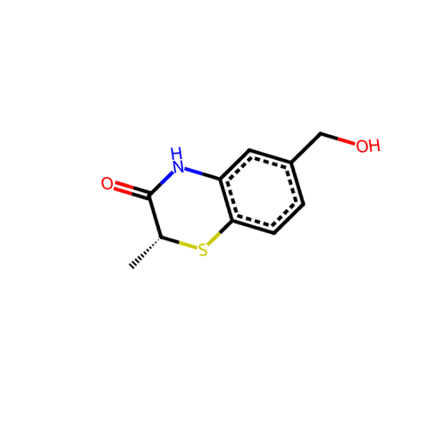 C[C@H]1Sc2ccc(CO)cc2NC1=O